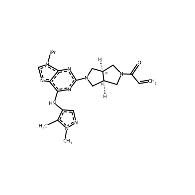 C=CC(=O)N1C[C@@H]2CN(c3nc(Nc4cnn(C)c4C)c4ncn(C(C)C)c4n3)C[C@@H]2C1